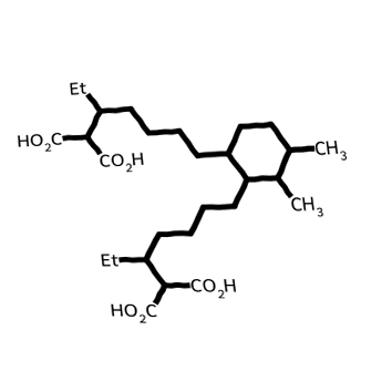 CCC(CCCCC1CCC(C)C(C)C1CCCCC(CC)C(C(=O)O)C(=O)O)C(C(=O)O)C(=O)O